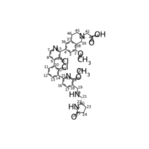 COc1cc(-c2nccc(-c3cccc(-c4ccc(CNC[C@@H]5CCC(=O)N5)c(OC)n4)c3Cl)c2Cl)cc2c1CN(CC(=O)O)CC2